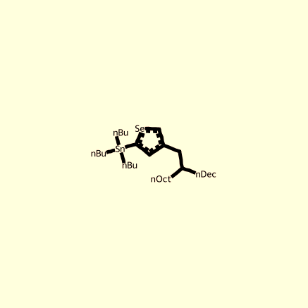 CCCCCCCCCCC(CCCCCCCC)Cc1c[se][c]([Sn]([CH2]CCC)([CH2]CCC)[CH2]CCC)c1